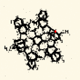 Cc1ccc2c(c1)C1CC(C)[C@@H]1N2c1c(-c2nc(-c3ccccc3)nc(-c3ccccc3)n2)c(-n2c3ccc(C)cc3c3cc(C)ccc32)c(-n2c3ccc(C)cc3c3cc(C)ccc32)c(-c2nc(-c3ccccc3)nc(-c3ccccc3)n2)c1-n1c2ccc(C)cc2c2cc(C)ccc21